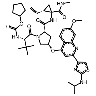 C=C[C@@H]1C[C@]1(NC(=O)[C@@H]1C[C@@H](Oc2cc(-c3csc(NC(C)C)n3)nc3cc(OC)ccc23)CN1C(=O)[C@@H](NC(=O)OC1CCCC1)C(C)(C)C)C(=O)NC